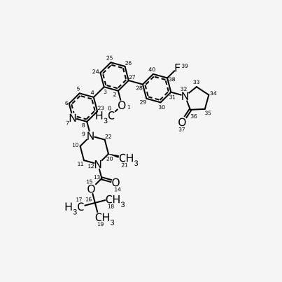 COc1c(-c2ccnc(N3CCN(C(=O)OC(C)(C)C)[C@H](C)C3)c2)cccc1-c1ccc(N2CCCC2=O)c(F)c1